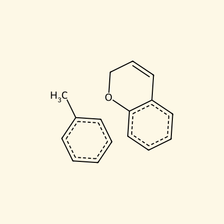 C1=Cc2ccccc2OC1.Cc1ccccc1